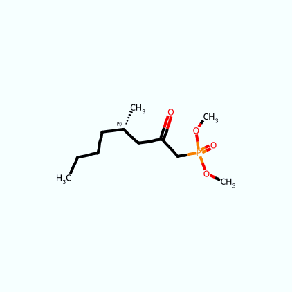 CCCC[C@H](C)CC(=O)CP(=O)(OC)OC